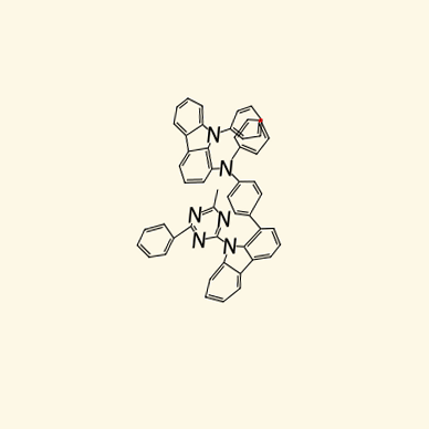 Cc1nc(-c2ccccc2)nc(-n2c3ccccc3c3cccc(-c4ccc(N(c5ccccc5)c5cccc6c7ccccc7n(-c7ccccc7)c56)cc4)c32)n1